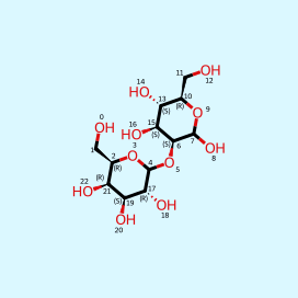 OC[C@H]1OC(O[C@@H]2C(O)O[C@H](CO)[C@@H](O)[C@@H]2O)[C@H](O)[C@@H](O)[C@H]1O